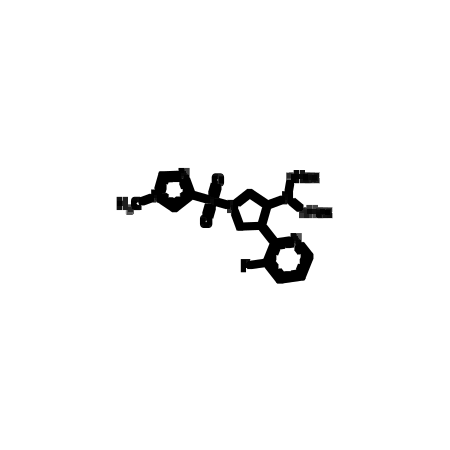 CCCCCCN(CCCCCC)C1CN(S(=O)(=O)c2cn(C)cn2)CC1c1ncccc1F